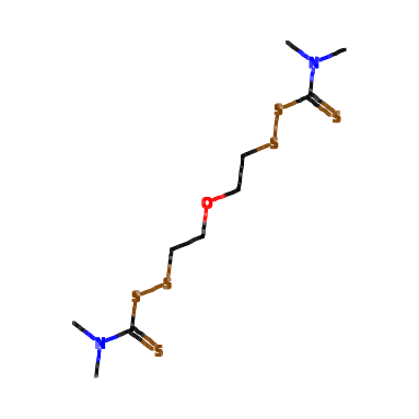 CN(C)C(=S)SSCCOCCSSC(=S)N(C)C